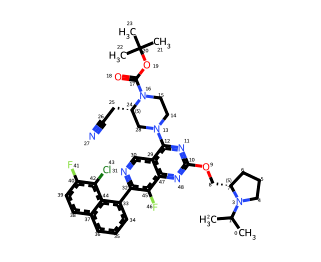 CC(C)N1CCC[C@H]1COc1nc(N2CCN(C(=O)OC(C)(C)C)[C@@H](CC#N)C2)c2cnc(-c3cccc4ccc(F)c(Cl)c34)c(F)c2n1